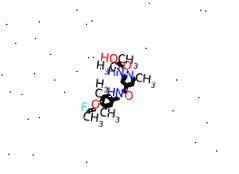 Cc1cc(C(=O)NCc2cc(C)c(OCC(C)F)c(C)c2)cc(NC(=O)C(C)(C)O)n1